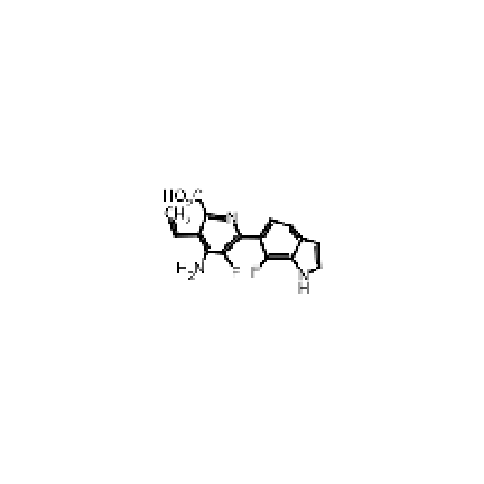 C=Cc1c(C(=O)O)nc(-c2ccc3cc[nH]c3c2F)c(F)c1N